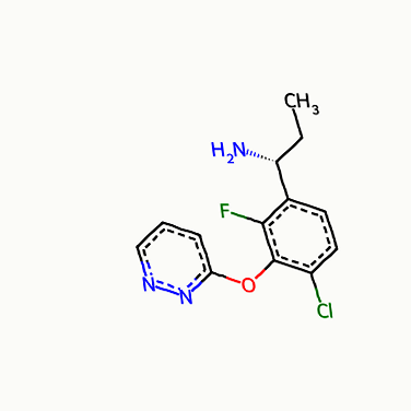 CC[C@@H](N)c1ccc(Cl)c(Oc2cccnn2)c1F